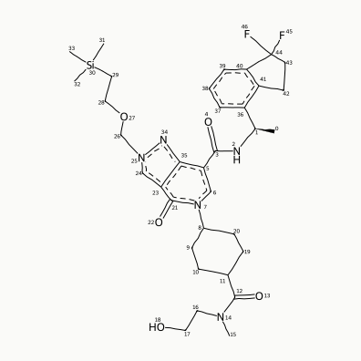 C[C@@H](NC(=O)c1cn(C2CCC(C(=O)N(C)CCO)CC2)c(=O)c2cn(COCC[Si](C)(C)C)nc12)c1cccc2c1CCC2(F)F